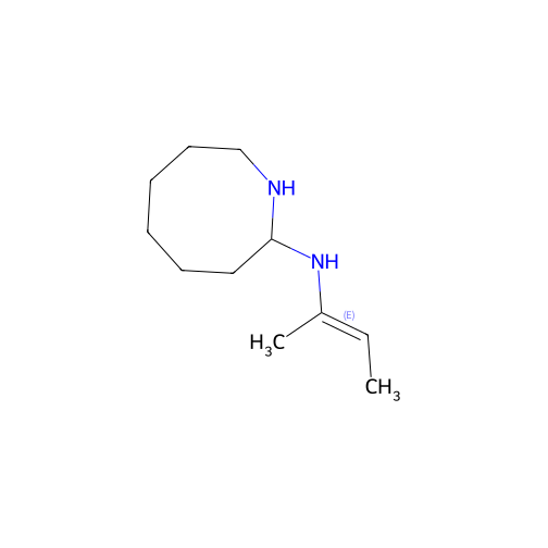 C/C=C(\C)NC1CCCCCCN1